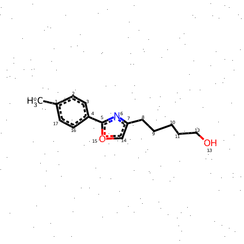 Cc1ccc(-c2nc(CCCCCO)co2)cc1